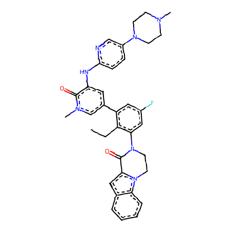 CCc1c(-c2cc(Nc3ccc(N4CCN(C)CC4)cn3)c(=O)n(C)c2)cc(F)cc1N1CCn2c(cc3ccccc32)C1=O